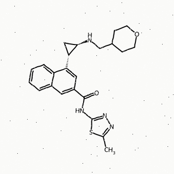 Cc1nnc(NC(=O)c2cc([C@@H]3C[C@H]3NCC3CCOCC3)c3ccccc3c2)s1